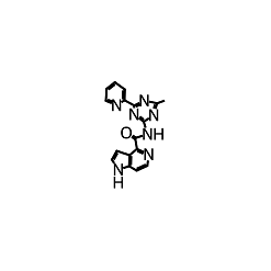 Cc1nc(NC(=O)c2nccc3[nH]ccc23)nc(-c2ccccn2)n1